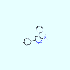 CN(C)c1nnc(-c2ccccc2)cc1-c1ccccc1